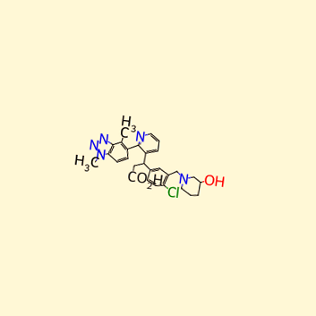 Cc1c(-c2ncccc2C(CC(=O)O)c2ccc(Cl)c(CN3CCCC(O)C3)c2)ccc2c1nnn2C